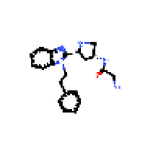 NCC(=O)N[C@H]1CN[C@H](c2nc3ccccc3n2CCc2ccccc2)C1